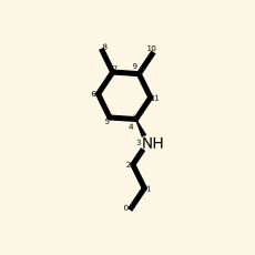 CCCN[C@H]1CCC(C)C(C)C1